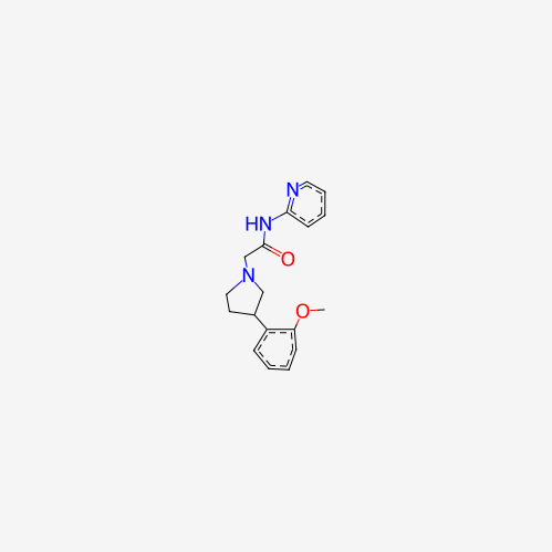 COc1ccccc1C1CCN(CC(=O)Nc2ccccn2)C1